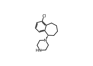 Clc1cccc2c1CCCC[C@H]2N1CCNCC1